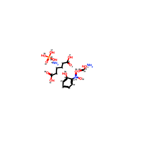 N.N.O=C(O)CCCCC(=O)O.O=CO.O=P(O)(O)O.O=[N+]([O-])c1ccccc1O